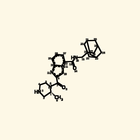 C[C@@H]1CNCCN1C(=O)c1cn2c(C(=O)NCC34CC5CC(CC(C5)C3)C4)cccc2n1